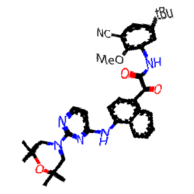 COc1c(C#N)cc(C(C)(C)C)cc1NC(=O)C(=O)c1ccc(Nc2ccnc(N3CC(C)(C)OC(C)(C)C3)n2)c2ccccc12